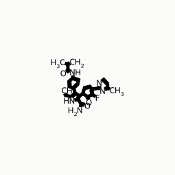 C=Cc1[nH]c(C(N)=O)c(C2C=CC(c3nccc(C)n3)=C(F)C2=O)c1-c1ccc(NC(=O)C(=C)C)cc1